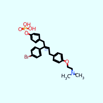 CN(C)CCOc1ccc(C/C=C(/Cc2ccc(OP(=O)(O)O)cc2)c2ccc(Br)cc2)cc1